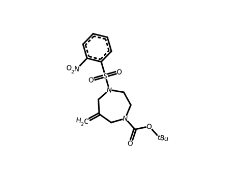 C=C1CN(C(=O)OC(C)(C)C)CCN(S(=O)(=O)c2ccccc2[N+](=O)[O-])C1